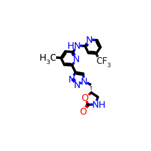 Cc1cc(Nc2cc(C(F)(F)F)ccn2)nc(-c2cn(C[C@@H]3CNC(=O)O3)nn2)c1